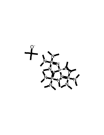 CC(C)(C)[O-].CN(C)P(=N[P+](N=P(N(C)C)(N(C)C)N(C)C)(N=P(N(C)C)(N(C)C)N(C)C)N(C)C)(N(C)C)N(C)C